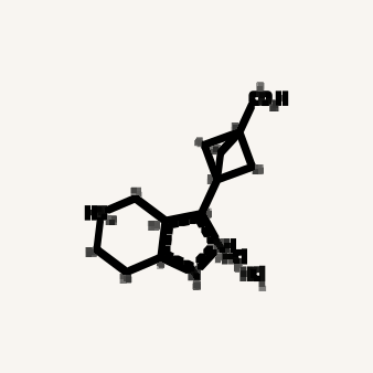 Cl.Cl.O=C(O)C12CC(c3[nH]nc4c3CNCC4)(C1)C2